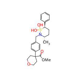 COC(=O)C1(c2ccc(CN3[C@@H](C)CC[C@H](c4ccccc4)S3(O)O)cc2)CCOCC1